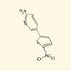 Nc1ccc(-c2ccc([N+](=O)[O-])s2)cn1